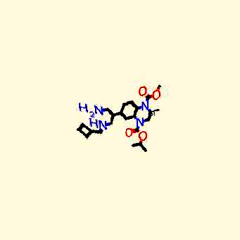 COC(=O)N1C2CCC(C(CN)CNCC3CCC3)CC2N(C(=O)OC(C)C)C[C@@H]1C